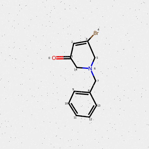 O=C1C=C(Br)CN(Cc2ccccc2)C1